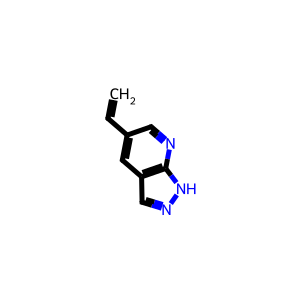 C=Cc1cnc2[nH]ncc2c1